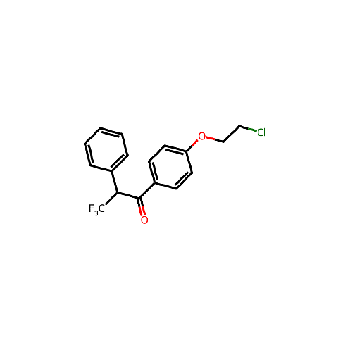 O=C(c1ccc(OCCCl)cc1)C(c1ccccc1)C(F)(F)F